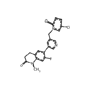 CN1C(=O)CCc2cc(-c3cncc(Cn4cc(Cl)ccc4=O)c3)c(F)cc21